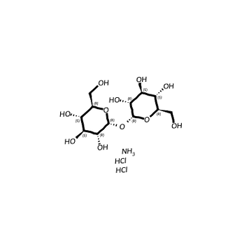 Cl.Cl.N.OC[C@H]1O[C@H](O[C@H]2O[C@H](CO)[C@@H](O)[C@H](O)[C@H]2O)[C@H](O)[C@@H](O)[C@@H]1O